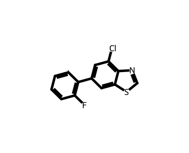 Fc1ccc[c]c1-c1cc(Cl)c2ncsc2c1